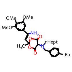 CCCCCCCN(Cc1ccc(C(C)(C)C)cc1)C1C(=O)OC(C)(C=C(N)c2cc(OC)c(OC)c(OC)c2)OC1=O